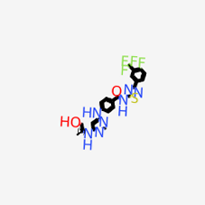 C[C@@H](CO)Nc1cc(Nc2ccc(C(=O)Nc3nc(-c4ccc(F)c(C(F)(F)F)c4)ns3)cc2)ncn1